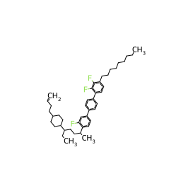 C=CCCC1CCC(C(CC)CCC(C)c2ccc(-c3ccc(-c4ccc(CCCCCCCCC)c(F)c4F)cc3)cc2F)CC1